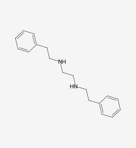 c1ccc(CCNCCNCCc2ccccc2)cc1